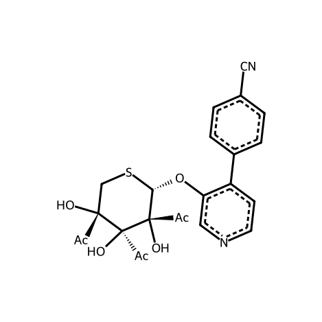 CC(=O)[C@]1(O)[C@@](O)(C(C)=O)CS[C@H](Oc2cnccc2-c2ccc(C#N)cc2)[C@@]1(O)C(C)=O